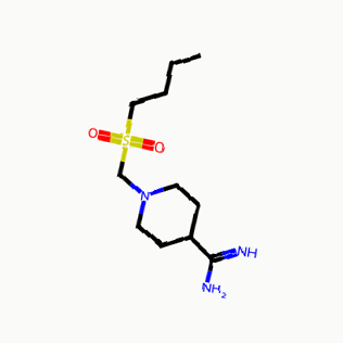 CCCCS(=O)(=O)CN1CCC(C(=N)N)CC1